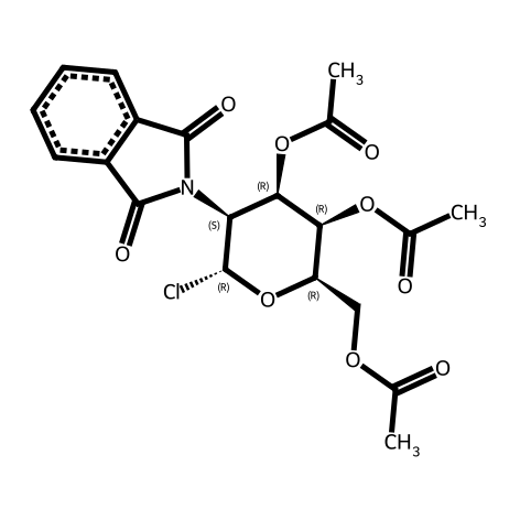 CC(=O)OC[C@H]1O[C@H](Cl)[C@@H](N2C(=O)c3ccccc3C2=O)[C@@H](OC(C)=O)[C@H]1OC(C)=O